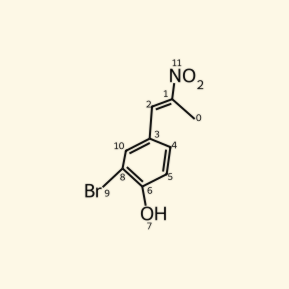 CC(=Cc1ccc(O)c(Br)c1)[N+](=O)[O-]